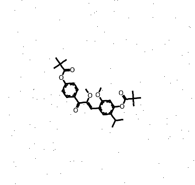 COC(=Cc1cc(C(C)C)c(OC(=O)C(C)(C)C)cc1OC)C(=O)c1ccc(OC(=O)C(C)(C)C)cc1